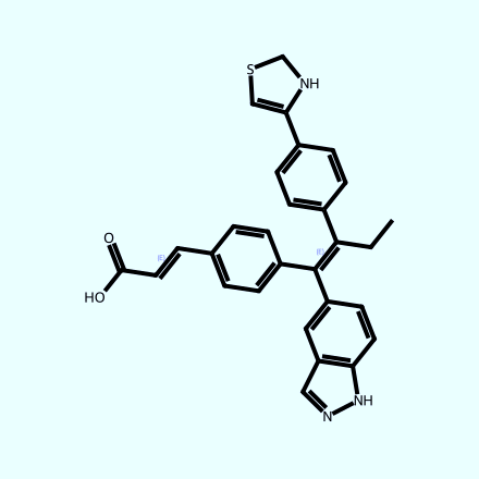 CC/C(=C(/c1ccc(/C=C/C(=O)O)cc1)c1ccc2[nH]ncc2c1)c1ccc(C2=CSCN2)cc1